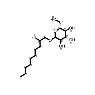 [2H]C(CCCCCCCC)COC1O[C@H](CO)[C@@H](O)[C@H](O)[C@H]1O